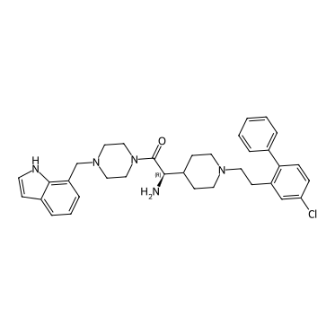 N[C@@H](C(=O)N1CCN(Cc2cccc3cc[nH]c23)CC1)C1CCN(CCc2cc(Cl)ccc2-c2ccccc2)CC1